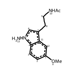 COc1ccc2[nH]cc(CCNC(C)=O)c2c1.N